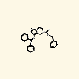 O=C(OCc1ccccc1)N1CCn2ncc(N=C(c3ccccc3)c3ccccc3)c2C1